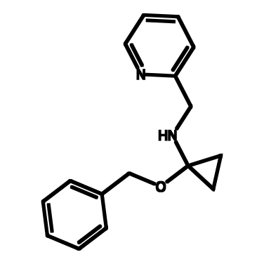 c1ccc(COC2(NCc3ccccn3)CC2)cc1